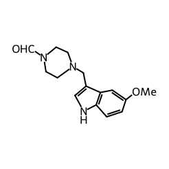 COc1ccc2[nH]cc(CN3CCN(C=O)CC3)c2c1